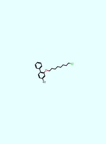 CCc1ccc(-c2ccccc2)c(OCCCCCCCCCl)c1